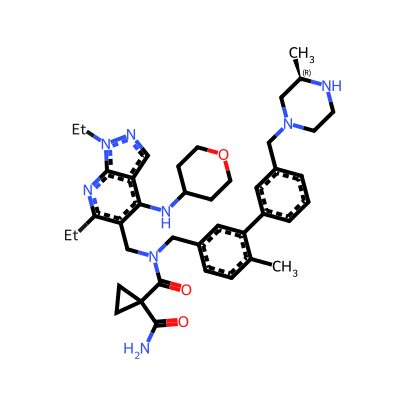 CCc1nc2c(cnn2CC)c(NC2CCOCC2)c1CN(Cc1ccc(C)c(-c2cccc(CN3CCN[C@H](C)C3)c2)c1)C(=O)C1(C(N)=O)CC1